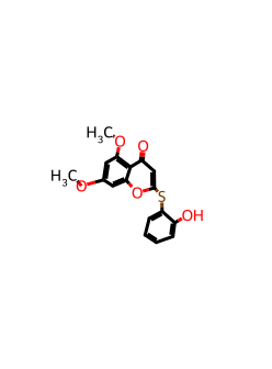 COc1cc(OC)c2c(=O)cc(Sc3ccccc3O)oc2c1